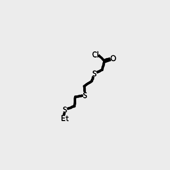 [CH2]CSCCSCCSCC(=O)Cl